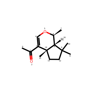 CC(=O)C1=CO[C@@H](C)[C@@H]2C(C)(C)CC[C@]12C